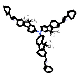 CC1(C)c2cc(/C=C/c3ccccc3)ccc2-c2ccc(N(c3ccc4c(c3)C(C)(C)c3cc(/C=C/c5ccccc5)ccc3-4)c3ccc4c(c3)C(C)(C)c3cc(/C=C/c5ccccc5)ccc3-4)cc21